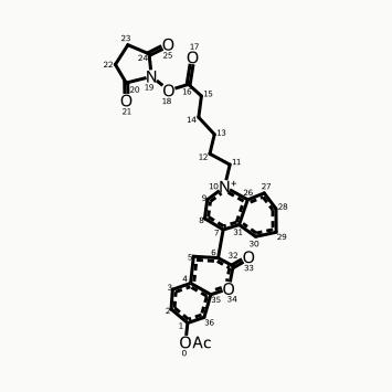 CC(=O)Oc1ccc2cc(-c3cc[n+](CCCCCC(=O)ON4C(=O)CCC4=O)c4ccccc34)c(=O)oc2c1